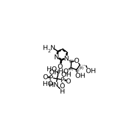 CNC(CO)(P(=O)(O)O)P(=O)(O)O.Nc1ccn([C@@H]2O[C@H](CO)[C@@H](O)[C@H]2O)c(=O)n1